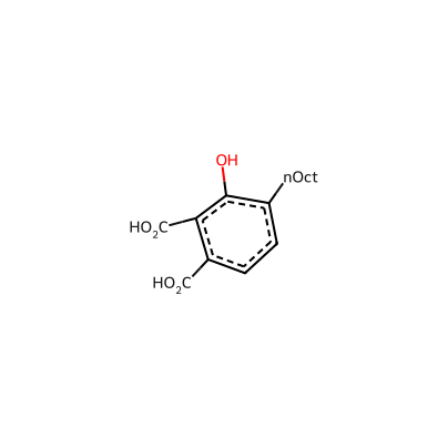 CCCCCCCCc1ccc(C(=O)O)c(C(=O)O)c1O